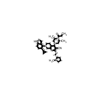 C=CC(=O)N1[C@H](C)CN(c2c(C#N)c(OC[C@@H]3CCCN3C)nc3c2CCN(c2c(C4CC4)ccc4[nH]ncc24)C3)C[C@@H]1C